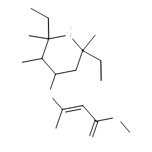 CCC1(C)CC(OC(C)=CC(=O)OC)C(C)C(C)(CC)N1